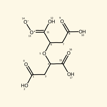 O=C(O)CC(OC(CC(=O)O)C(O)=[O+][O-])C(=O)O